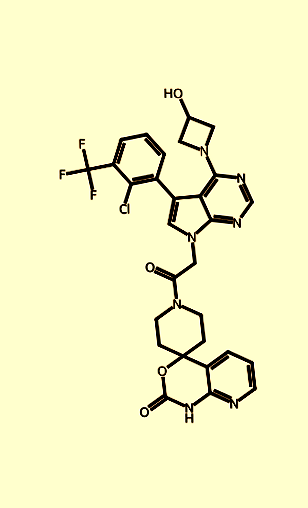 O=C1Nc2ncccc2C2(CCN(C(=O)Cn3cc(-c4cccc(C(F)(F)F)c4Cl)c4c(N5CC(O)C5)ncnc43)CC2)O1